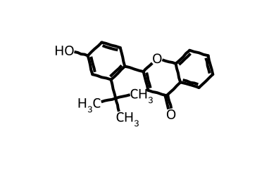 CC(C)(C)c1cc(O)ccc1-c1cc(=O)c2ccccc2o1